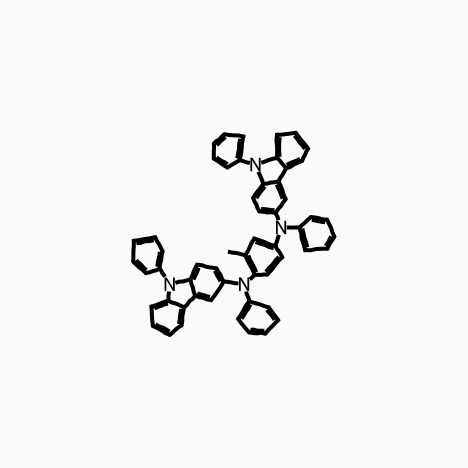 Cc1cc(N(c2ccccc2)c2ccc3c(c2)c2ccccc2n3-c2ccccc2)ccc1N(c1ccccc1)c1ccc2c(c1)c1ccccc1n2-c1ccccc1